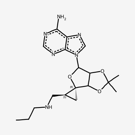 CCCNC[C@@H]1C[C@@]12OC(n1cnc3c(N)ncnc31)C1OC(C)(C)OC12